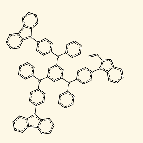 C=Cc1cc2ccccc2n1-c1ccc(N(c2ccccc2)c2cc(N(c3ccccc3)c3ccc(-n4c5ccccc5c5ccccc54)cc3)cc(N(c3ccccc3)c3ccc(-n4c5ccccc5c5ccccc54)cc3)c2)cc1